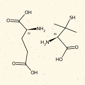 CC(C)(S)[C@H](N)C(=O)O.N[C@@H](CCC(=O)O)C(=O)O